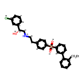 CCOC(=O)c1ccccc1-c1cccc(S(=O)(=O)c2ccc(CCNC[C@H](O)c3cccc(Cl)c3)cc2)c1